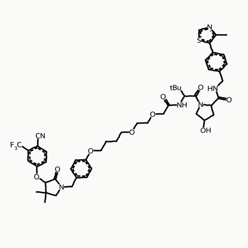 Cc1ncsc1-c1ccc(CNC(=O)C2CC(O)CN2C(=O)C(NC(=O)COCCOCCCCOc2ccc(CN3CC(C)(C)C(Oc4ccc(C#N)c(C(F)(F)F)c4)C3=O)cc2)C(C)(C)C)cc1